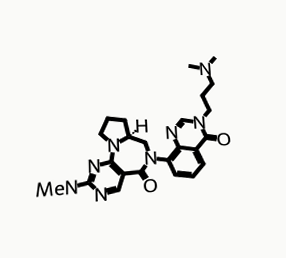 CNc1ncc2c(n1)N1CCC[C@H]1CN(c1cccc3c(=O)n(CCCN(C)C)cnc13)C2=O